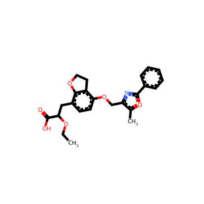 CCOC(Cc1ccc(OCc2nc(-c3ccccc3)oc2C)c2c1OCC2)C(=O)O